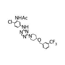 CC(=O)Nc1cc(Nc2ncnc(N3CCC(OCc4cccc(C(F)(F)F)c4)CC3)n2)ccc1Cl